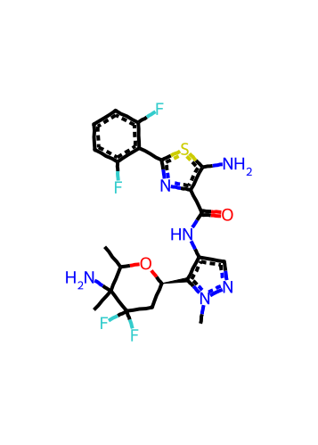 CC1O[C@@H](c2c(NC(=O)c3nc(-c4c(F)cccc4F)sc3N)cnn2C)CC(F)(F)C1(C)N